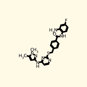 Cc1cc(Nc2ccnc(SCc3ccc(C(=O)Nc4ccc(F)cc4N)cc3)n2)nn1C